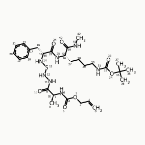 C=CCOC(=O)N[C@@H](C)C(=O)NNSN[C@H](Cc1ccccc1)C(=O)N[C@@H](CCCCNC(=O)OC(C)(C)C)C(=O)NC